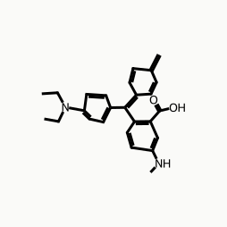 C=c1ccc(=C(c2ccc(N(CC)CC)cc2)c2ccc(NC)cc2C(=O)O)cc1